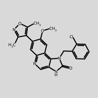 COc1cc2c(cc1-c1c(C)noc1C)ncc1[nH]c(=O)n(Cc3ccccc3Cl)c12